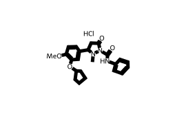 COc1ccc(C2CC(=O)N(C(=O)Nc3ccccc3)N2C)cc1OC1CCCC1.Cl